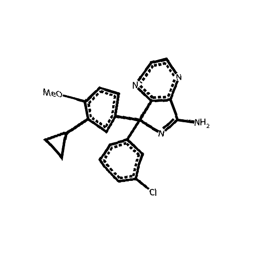 COc1ccc(C2(c3cccc(Cl)c3)N=C(N)c3nccnc32)cc1C1CC1